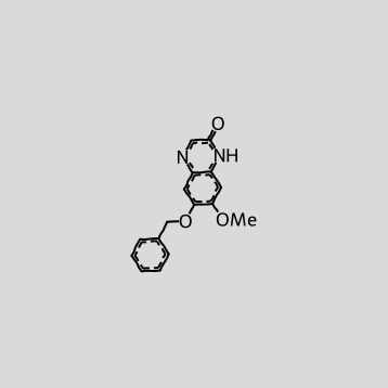 COc1cc2[nH]c(=O)cnc2cc1OCc1ccccc1